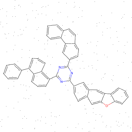 c1ccc(-c2cccc3c(-c4nc(-c5ccc6cc7oc8ccccc8c7cc6c5)nc(-c5ccc6ccc7ccccc7c6c5)n4)cccc23)cc1